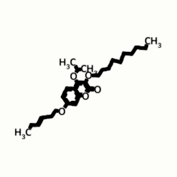 CCC=CCCOc1ccc2c(OC(C)C)c(OCCCCCCCCCC)c(=O)oc2c1